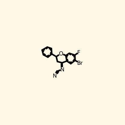 N#C/N=C1\CC(c2ccccc2)Oc2cc(F)c(Br)cc21